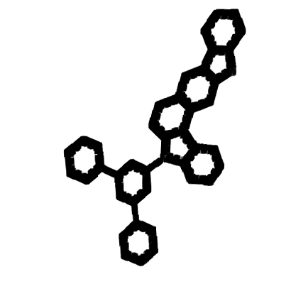 c1ccc(-c2cc(-c3ccccc3)cc(-n3c4ccccc4c4c5cc6sc7ccccc7c6cc5ccc43)c2)cc1